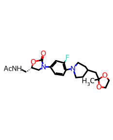 CC(=O)NC[C@H]1CN(c2ccc(N3CCC(CC4(C)OCCO4)CC3)c(F)c2)C(=O)O1